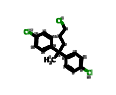 CC(CCCCl)(c1ccc(Cl)cc1)c1ccc(Cl)cc1